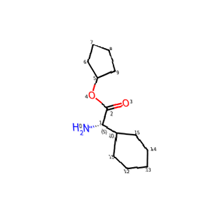 N[C@H](C(=O)OC1CCCC1)C1CCCCC1